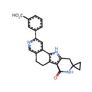 O=C(O)c1cccc(-c2cc3c(cn2)CCc2c-3[nH]c3c2C(=O)NC2(CC2)C3)c1